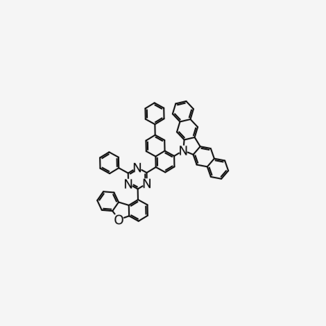 c1ccc(-c2ccc3c(-c4nc(-c5ccccc5)nc(-c5cccc6oc7ccccc7c56)n4)ccc(-n4c5cc6ccccc6cc5c5cc6ccccc6cc54)c3c2)cc1